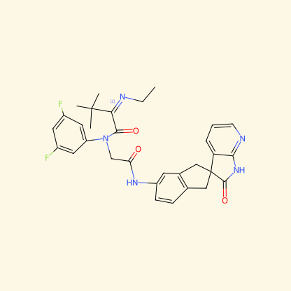 CC/N=C(\C(=O)N(CC(=O)Nc1ccc2c(c1)CC1(C2)C(=O)Nc2ncccc21)c1cc(F)cc(F)c1)C(C)(C)C